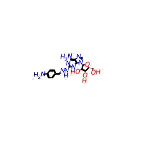 Nc1ccc(C=NNc2nc(N)c3ncn([C@@H]4O[C@H](CO)[C@@H](O)[C@H]4O)c3n2)cc1